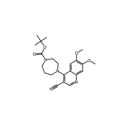 COc1cc2ncc(C#N)c(N3CCCN(C(=O)OC(C)(C)C)CC3)c2cc1OC